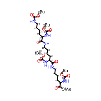 COC(=O)C(CCCCNC(=O)C(CCCCNC(=O)C(CCCCNC(=O)OC(C)(C)C)NC(=O)OC(C)(C)C)NC(=O)OC(C)(C)C)NC(=O)OC(C)(C)C